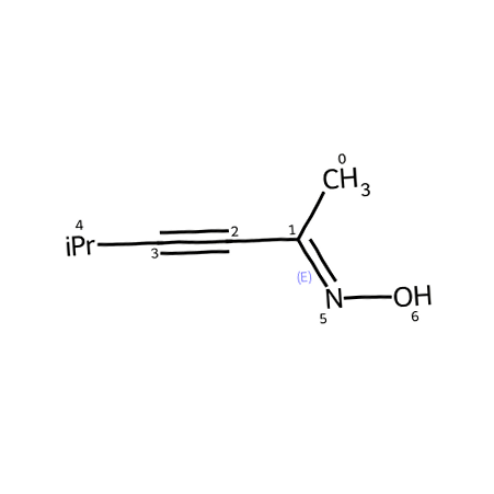 C/C(C#CC(C)C)=N\O